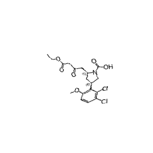 CCOC(=O)CC(=O)C[C@@H]1C[C@H](c2c(OC)ccc(Cl)c2Cl)CN1C(=O)O